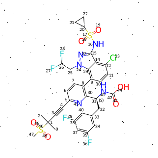 CC(C)(C#Cc1ccc(-c2ccc(Cl)c3c(NS(=O)(=O)C4CC4)nn(CC(F)F)c23)c([C@H](Cc2cc(F)cc(F)c2)NC(=O)O)n1)S(C)(=O)=O